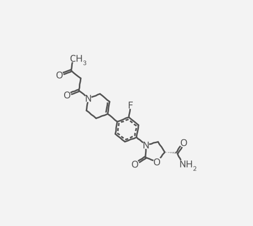 CC(=O)CC(=O)N1CC=C(c2ccc(N3C[C@H](C(N)=O)OC3=O)cc2F)CC1